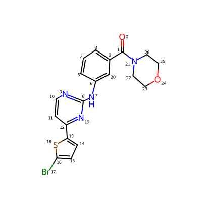 O=C(c1cccc(Nc2nccc(-c3ccc(Br)s3)n2)c1)N1CCOCC1